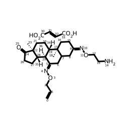 C=CCO/N=C1\CC2C/C(=N\OCCN)CC[C@]2(C)[C@H]2CC[C@]3(C)C(=O)CC[C@H]3[C@H]12.O=C(O)/C=C/C(=O)O